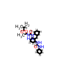 C=C(C)C(=O)OC(C)NC(=O)Nc1ccccc1Cc1ccccc1NC(=O)Nc1ccccc1